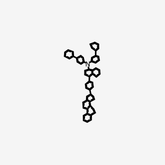 c1ccc(-c2ccc(N(c3cccc(-c4ccccc4)c3)c3ccc(-c4ccc(-c5ccc6c(ccc7c8ccccc8ccc67)c5)cc4)c4ccccc34)cc2)cc1